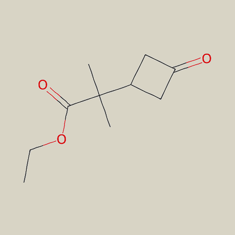 CCOC(=O)C(C)(C)C1CC(=O)C1